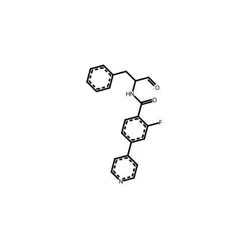 O=CC(Cc1ccccc1)NC(=O)c1ccc(-c2ccncc2)cc1F